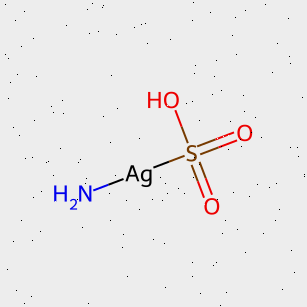 [NH2][Ag][S](=O)(=O)O